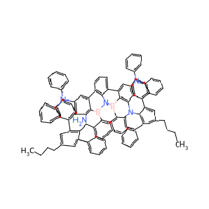 CCCCc1cc(-c2ccccc2)c(Cc2ccccc2B2c3c(N)cc(N(c4ccccc4)c4ccccc4)cc3-c3cccc4c3N2B2c3ccccc3N(c3c(-c5ccccc5)cc(CCCC)cc3-c3ccccc3)c3cc(N(c5ccccc5)c5ccccc5)cc-4c32)c(-c2ccccc2)c1